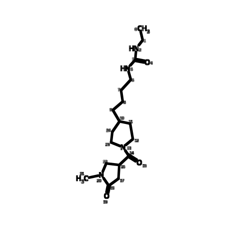 CCNC(=O)NCCCCC1CCN(C(=O)C2CC(=O)N(C)C2)CC1